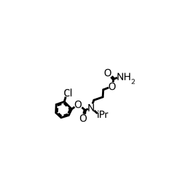 CC(C)N(CCCOC(N)=O)C(=O)Oc1ccccc1Cl